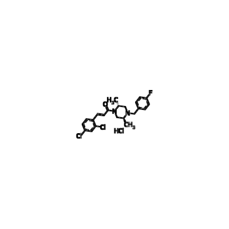 C[C@@H]1CN(Cc2ccc(F)cc2)[C@@H](C)CN1C(=O)/C=C/c1ccc(Cl)cc1Cl.Cl